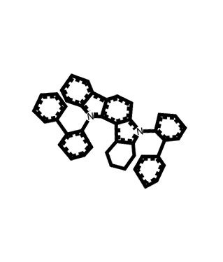 c1ccc(-c2ccccc2-n2c3c(c4c2ccc2c5ccccc5n(-c5ccccc5-c5ccccc5)c24)CCCC3)cc1